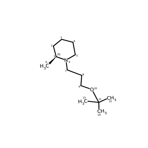 C[C@H]1CCCCN1CCCOC(C)(C)C